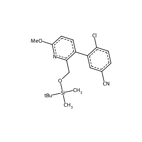 COc1ccc(-c2cc(C#N)ccc2Cl)c(CO[Si](C)(C)C(C)(C)C)n1